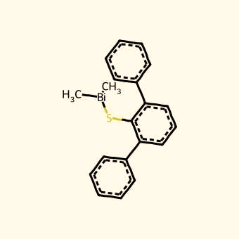 [CH3][Bi]([CH3])[S]c1c(-c2ccccc2)cccc1-c1ccccc1